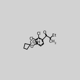 C=C(CC)C(=O)c1ccc(OC2(C(=O)O)CCC2)c(Cl)c1Cl